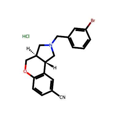 Cl.N#Cc1ccc2c(c1)[C@H]1CN(Cc3cccc(Br)c3)C[C@@H]1CO2